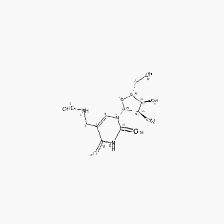 O=CNCc1cn([C@@H]2O[C@H](CO)[C@@H](O)[C@H]2O)c(=O)[nH]c1=O